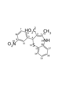 CC1=C(C(=O)O)C(c2cccc([N+](=O)[O-])c2)Sc2ccccc2N1